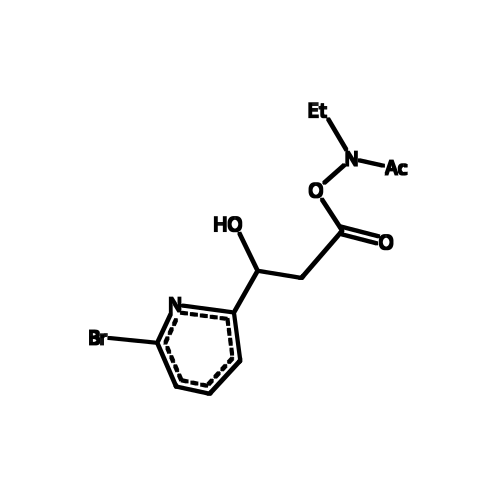 CCN(OC(=O)CC(O)c1cccc(Br)n1)C(C)=O